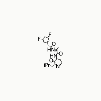 CC(C)Cc1ncccc(NC(=O)[C@H](C)NC(=O)Cc2cc(F)cc(F)c2)c1=O